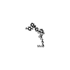 COCCOCCOCC(=O)OCn1c(N(C)C2CCN(c3nc4ccccc4n3Cc3ccc(F)cc3)CC2)nccc1=O